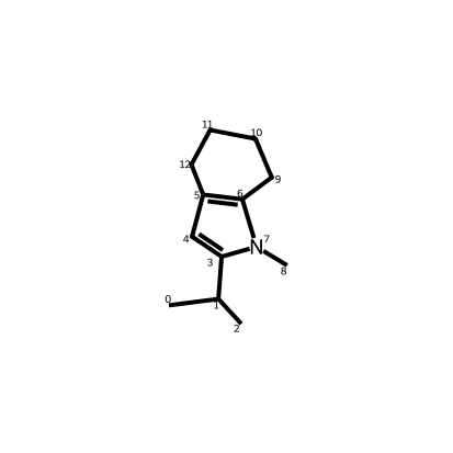 CC(C)c1cc2c(n1C)CCCC2